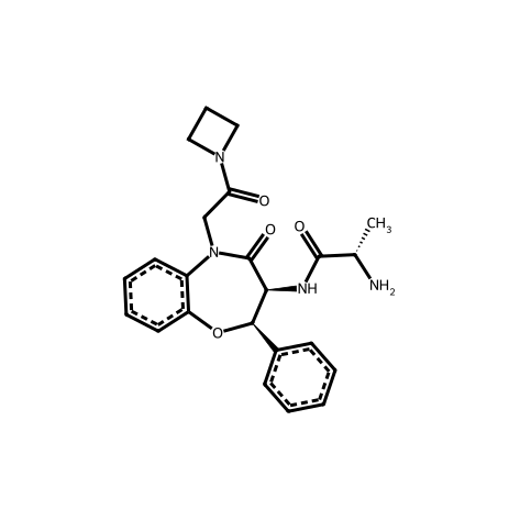 C[C@H](N)C(=O)N[C@@H]1C(=O)N(CC(=O)N2CCC2)c2ccccc2O[C@@H]1c1ccccc1